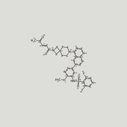 COc1ncc(-c2ccc3ncnc(N4CCC5(CC4)CN(C(=O)/C=C/C(C)=O)C5)c3c2)cc1NS(=O)(=O)c1c(F)cncc1F